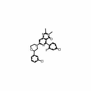 Cc1nc2cc(N3CCOC(c4cccc(Cl)c4)C3)nc(-c3ccc(Cl)cc3F)c2c(=O)n1C